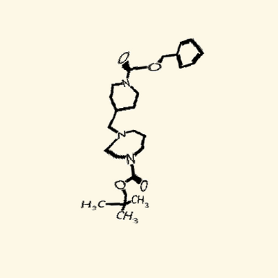 CC(C)(C)OC(=O)N1CCCN(CC2CCN(C(=O)OCc3ccccc3)CC2)CC1